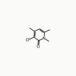 Cc1cc(C)n(C)c(=O)c1Cl